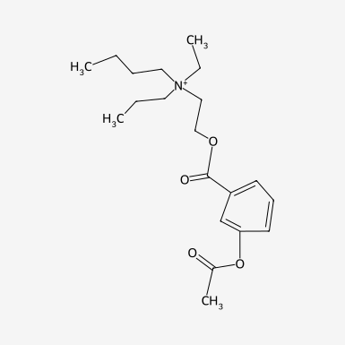 CCCC[N+](CC)(CCC)CCOC(=O)c1cccc(OC(C)=O)c1